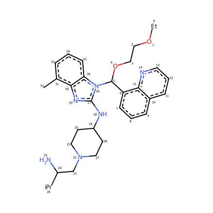 CCOCCOC(c1cccc2cccnc12)n1c(NC2CCN(CC(N)C(C)C)CC2)nc2c(C)cccc21